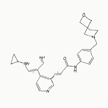 N=C/C(=C\NC1CC1)c1ccncc1/C=C/C(=O)Nc1ccc(CN2CC3(COC3)C2)cc1